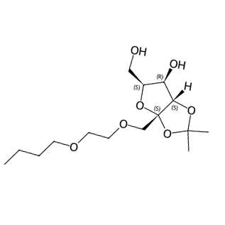 CCCCOCCOC[C@@]12O[C@@H](CO)[C@@H](O)[C@@H]1OC(C)(C)O2